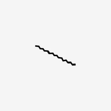 C=CC=CCCCCCCC/[C]=C/CCCCC